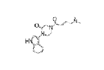 CN(C)C/C=C/C(=O)N1CCN(c2c[nH]c3ccccc23)C(=O)C1